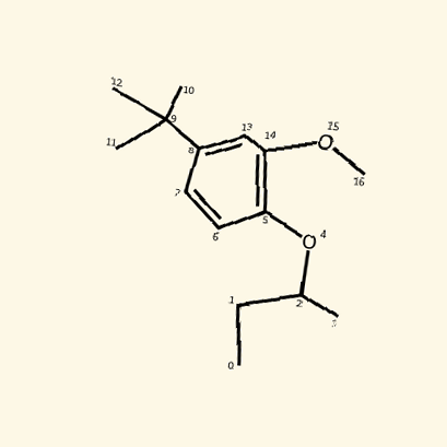 CCC(C)Oc1ccc(C(C)(C)C)cc1OC